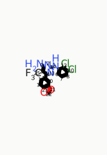 Nc1nc(Nc2cccc(Cl)c2Cl)nc(-c2ccc3c(c2)OCO3)c1C(F)(F)F